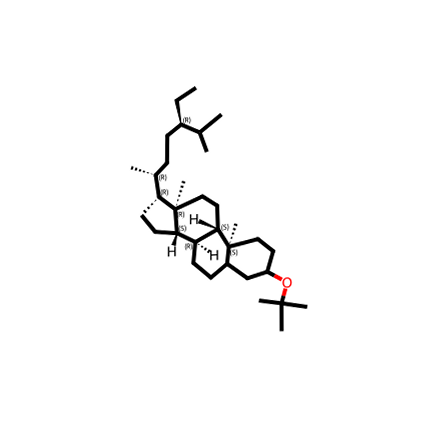 CC[C@H](CC[C@@H](C)[C@H]1CC[C@H]2[C@@H]3CCC4CC(OC(C)(C)C)CC[C@]4(C)[C@H]3CC[C@]12C)C(C)C